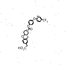 O=C(O)Cc1ccc(OC2CCN(C(=O)Oc3ccc(Oc4ccc(C(F)(F)F)cn4)cc3)CC2)c(F)c1